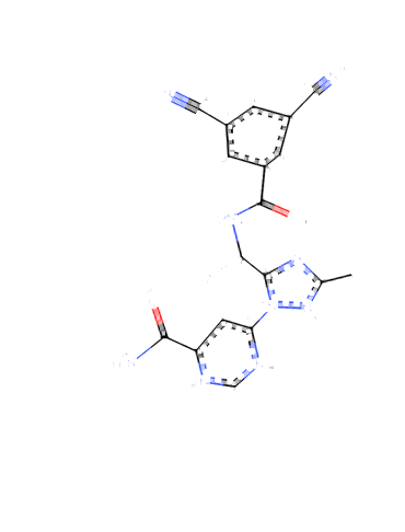 Cc1nc([C@H](C)NC(=O)c2cc(C#N)cc(C#N)c2)n(-c2cc(C(N)=O)ncn2)n1